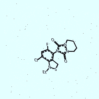 CCN1SCc2c1c(Cl)cc(F)c2-n1c(=O)n2n(c1=O)CCCC2